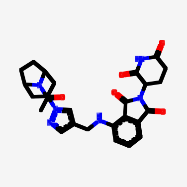 CC(=O)N1C2CCC1CC(n1cc(CNc3cccc4c3C(=O)N(C3CCC(=O)NC3=O)C4=O)cn1)C2